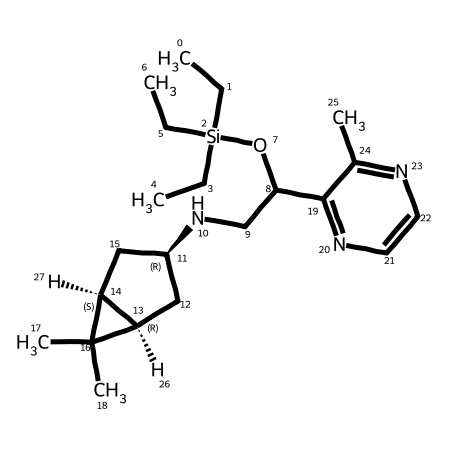 CC[Si](CC)(CC)OC(CN[C@H]1C[C@@H]2[C@H](C1)C2(C)C)c1nccnc1C